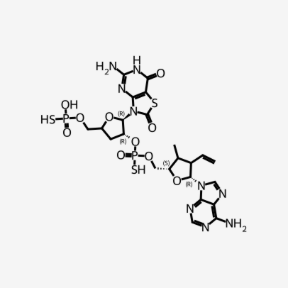 C=CC1C(C)[C@@H](COP(=O)(S)O[C@@H]2CC(COP(=O)(O)S)O[C@H]2n2c(=O)sc3c(=O)[nH]c(N)nc32)O[C@H]1n1cnc2c(N)ncnc21